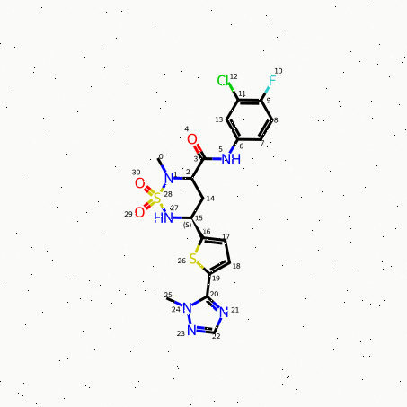 CN1C(C(=O)Nc2ccc(F)c(Cl)c2)C[C@@H](c2ccc(-c3ncnn3C)s2)NS1(=O)=O